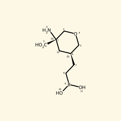 N[C@]1(C(=O)O)COC[C@@H](CCB(O)O)C1